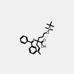 C/C=C/CC(CCCO[Si](C)(C)C(C)(C)C)(N=C(c1ccccc1)c1ccccc1)C(=O)O